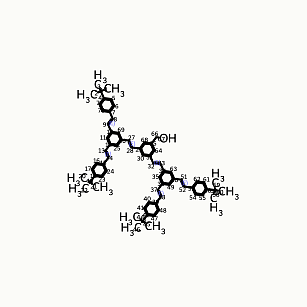 CC(C)(C)c1ccc(/C=C/c2cc(/C=C/c3ccc(C(C)(C)C)cc3)cc(/C=C/c3cc(/C=C/c4cc(/C=C/c5ccc(C(C)(C)C)cc5)cc(/C=C/c5ccc(C(C)(C)C)cc5)c4)cc(CO)c3)c2)cc1